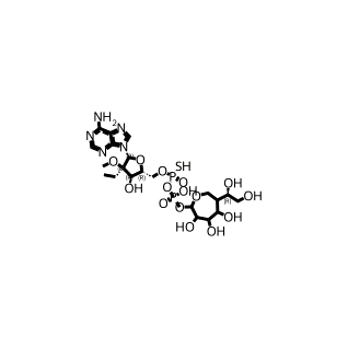 CC[C@@]1(OC)[C@H](O)[C@@H](COP(=O)(S)OP(=O)(O)OC2OCC([C@@H](O)CO)C(O)C(O)C2O)O[C@H]1n1cnc2c(N)ncnc21